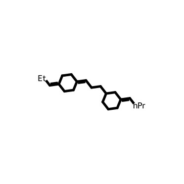 CCC=C1CCC(=CCCC2CCCC(=CCCC)C2)CC1